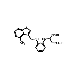 CCCCCC(CC(=O)O)Nc1ccccc1NCc1csc2cccc(C)c12